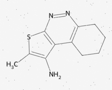 Cc1sc2nnc3c(c2c1N)CCCC3